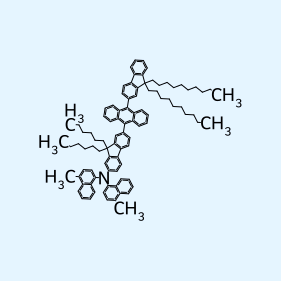 CCCCCCCCCCC1(CCCCCCCCCC)c2ccccc2-c2ccc(-c3c4ccccc4c(-c4ccc5c(c4)C(CCCCCC)(CCCCCC)c4cc(N(c6ccc(C)c7ccccc67)c6ccc(C)c7ccccc67)ccc4-5)c4ccccc34)cc21